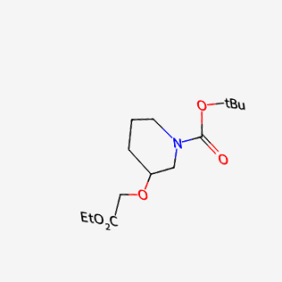 CCOC(=O)COC1CCCN(C(=O)OC(C)(C)C)C1